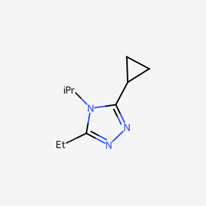 CCc1nnc(C2CC2)n1C(C)C